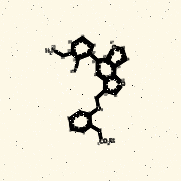 CCOC(=O)Cc1ccccc1OCc1coc2c1cc(-c1cccc(CN)c1F)c1occc12